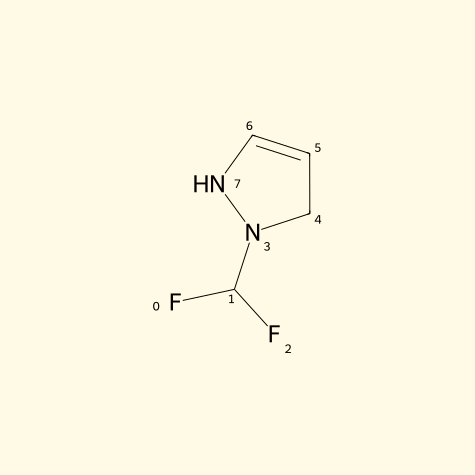 FC(F)N1CC=CN1